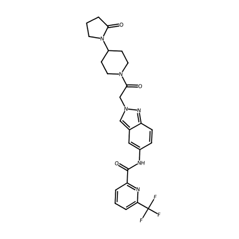 O=C(Nc1ccc2nn(CC(=O)N3CCC(N4CCCC4=O)CC3)cc2c1)c1cccc(C(F)(F)F)n1